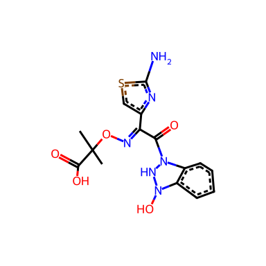 CC(C)(ON=C(C(=O)N1NN(O)c2ccccc21)c1csc(N)n1)C(=O)O